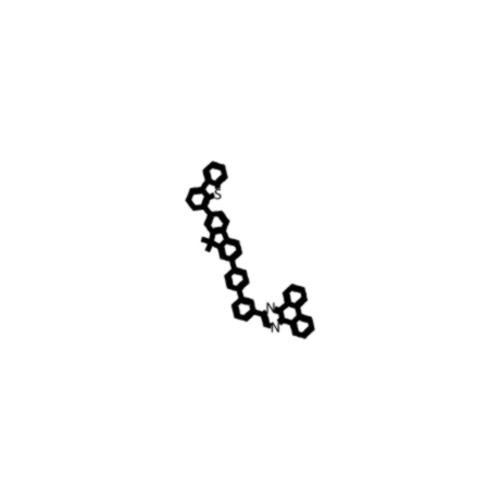 CC1(C)c2cc(C3=c4sc5ccccc5c4=CCC3)ccc2-c2ccc(-c3ccc(-c4cccc(-c5cnc6c7ccccc7c7ccccc7c6n5)c4)cc3)cc21